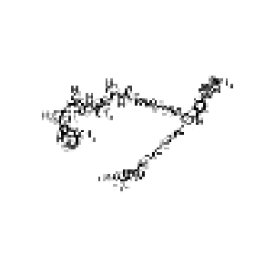 CCCOCC(C)(C)CNC(=O)CCOCCOCCOCCOCCN(CCOCCOCCOCCOCCC(=O)NCC(C)COCC(C)(C)CNC(=O)CC(C)(C)COCC(C)(C)Cn1cc(CC(C)(C)CC(C)(C)C)nn1)C(=O)c1ccc(-c2nnc(S(C)(=O)=O)o2)cc1